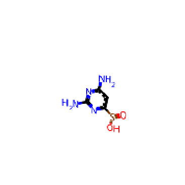 Nc1cc(S(=O)O)nc(N)n1